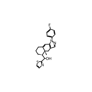 C[C@]12Cc3cnn(-c4ccc(F)cc4)c3C=C1CCC[C@@H]2[C@@H](O)c1nccs1